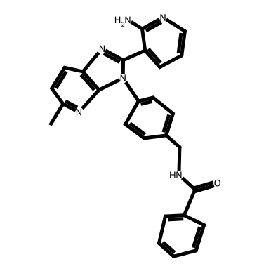 Cc1ccc2nc(-c3cccnc3N)n(-c3ccc(CNC(=O)c4ccccc4)cc3)c2n1